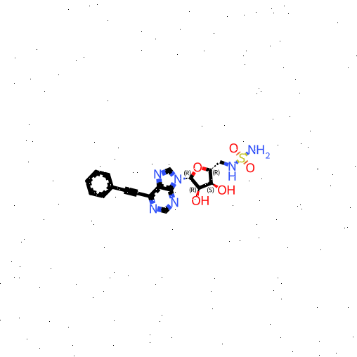 NS(=O)(=O)NC[C@H]1O[C@@H](n2cnc3c(C#Cc4ccccc4)ncnc32)[C@H](O)[C@@H]1O